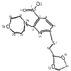 O=[N+]([O-])c1ccc(SCC2OCCO2)nc1N1CCOCC1